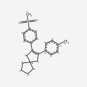 CS(=O)(=O)c1ccc(C2=C(c3ccc(C(F)(F)F)cc3)CC3(CCCC3)C2)cc1